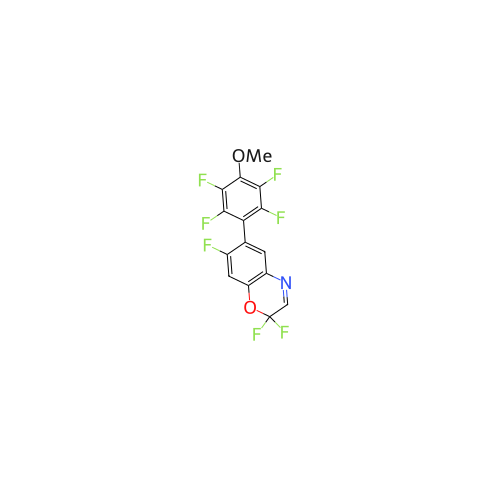 COc1c(F)c(F)c(-c2cc3c(cc2F)OC(F)(F)C=N3)c(F)c1F